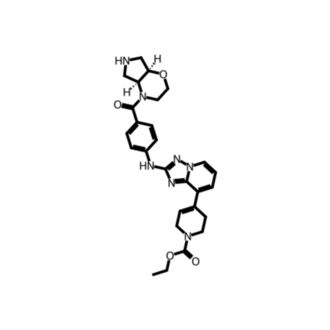 CCOC(=O)N1CC=C(c2cccn3nc(Nc4ccc(C(=O)N5CCO[C@@H]6CNC[C@@H]65)cc4)nc23)CC1